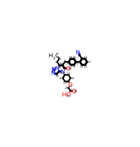 CCCc1c(Cc2ccc(-c3ccccc3C#N)cc2)c(=O)n([C@H]2CC[C@H](OCC(=O)O)CC2)c2cnnn12